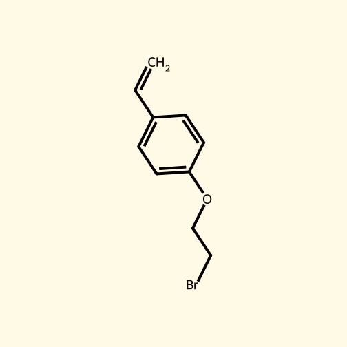 C=Cc1ccc(OCCBr)cc1